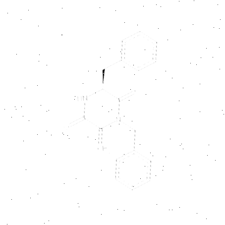 C=C1C(=O)N[C@@H](Cc2ccccc2)C(=O)N1Cc1ccccc1